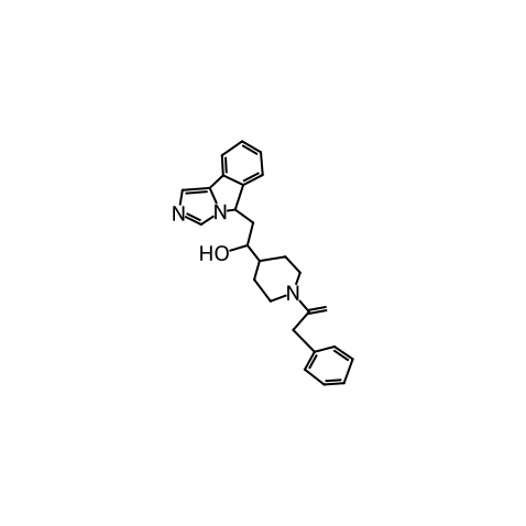 C=C(Cc1ccccc1)N1CCC(C(O)CC2c3ccccc3-c3cncn32)CC1